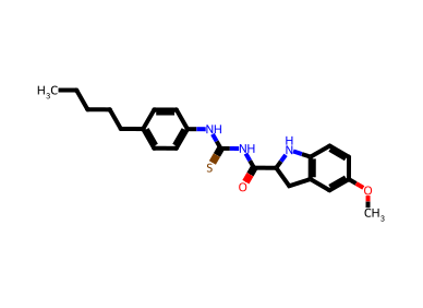 CCCCCc1ccc(NC(=S)NC(=O)C2Cc3cc(OC)ccc3N2)cc1